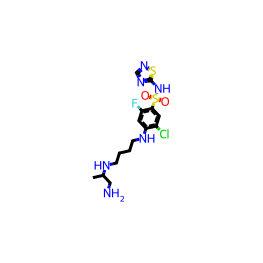 CC(CN)NCCCCNc1cc(F)c(S(=O)(=O)Nc2ncns2)cc1Cl